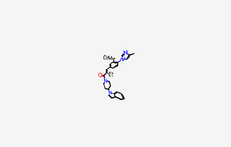 CC/C(=C\c1ccc(-n2cnc(C)c2)c(OC)c1)C(=O)N1CCC(n2ccc3ccccc32)CC1